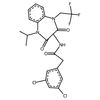 CC(C)N1C(=O)C(NC(=O)Cc2cc(Cl)cc(Cl)c2)C(=O)N(CC(F)(F)F)c2ccccc21